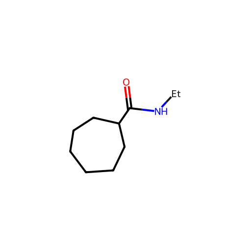 CCNC(=O)C1CCCCCC1